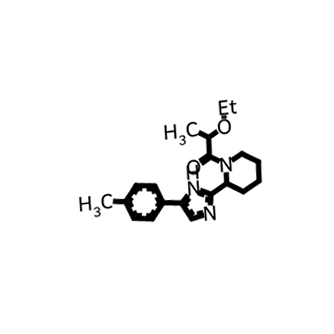 CCOC(C)C(=O)N1CCCCC1c1ncc(-c2ccc(C)cc2)[nH]1